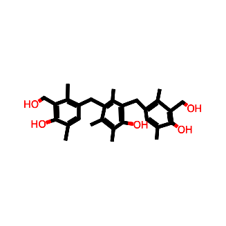 Cc1cc(Cc2c(C)c(C)c(O)c(Cc3cc(C)c(O)c(CO)c3C)c2C)c(C)c(CO)c1O